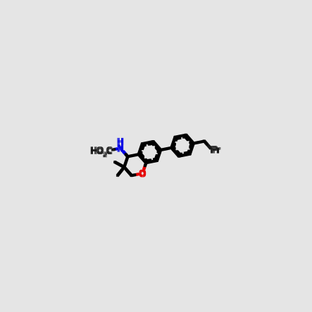 CC(C)Cc1ccc(-c2ccc3c(c2)OCC(C)(C)C3NC(=O)O)cc1